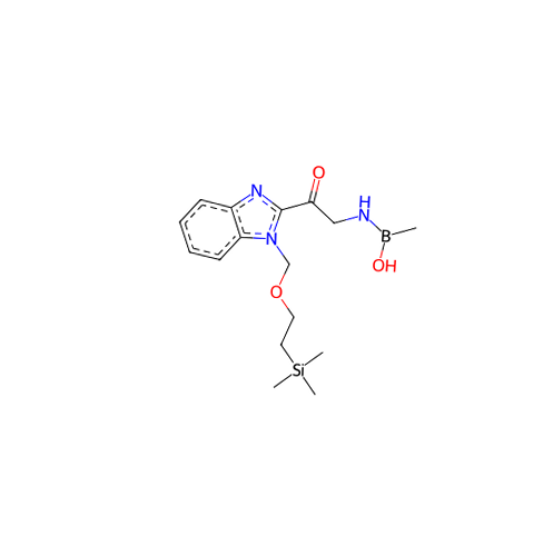 CB(O)NCC(=O)c1nc2ccccc2n1COCC[Si](C)(C)C